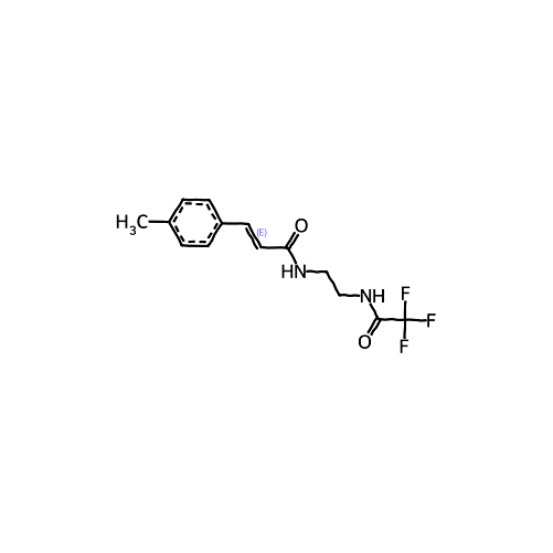 Cc1ccc(/C=C/C(=O)NCCNC(=O)C(F)(F)F)cc1